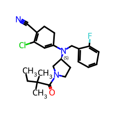 CCC(C)(C)C(=O)N1CC[C@H](N(Cc2ccccc2F)C2=CC(Cl)=C(C#N)CC2)C1